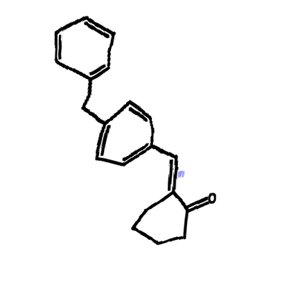 O=C1CCCC/C1=C\c1ccc(Cc2ccccc2)cc1